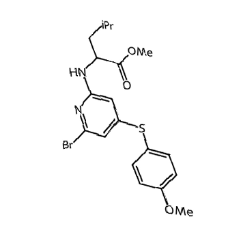 COC(=O)C(CC(C)C)Nc1cc(Sc2ccc(OC)cc2)cc(Br)n1